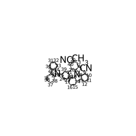 CC1(C#N)C=C(C#N)C(N2c3ccccc3C3C=CC=CC32)C(c2cccc(-n3c4c(c5ccccc53)C=CCC4)c2)C1